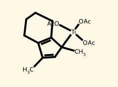 CC(=O)[O][Ti]([O]C(C)=O)([O]C(C)=O)[C]1(C)C=C(C)C2=C1CCCC2